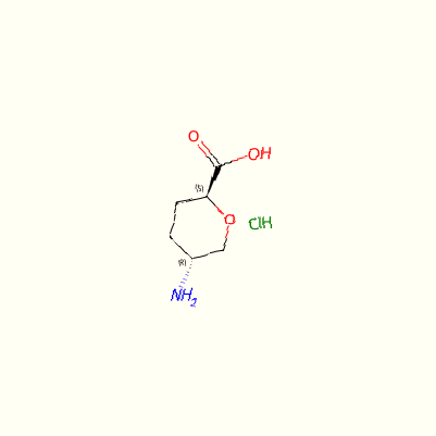 Cl.N[C@@H]1CC[C@@H](C(=O)O)OC1